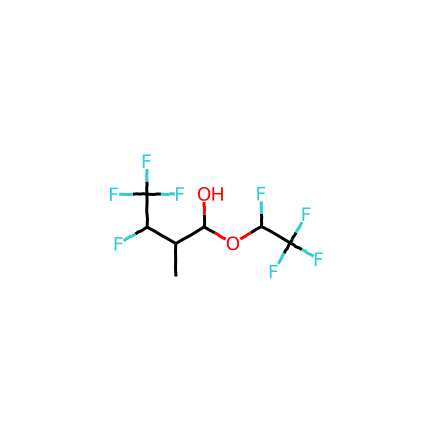 CC(C(O)OC(F)C(F)(F)F)C(F)C(F)(F)F